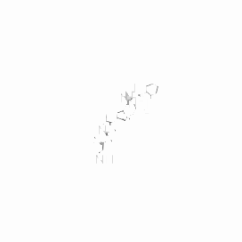 CN/C(=C\C=N)Nc1ncc(C)c(-c2cc3n(c2)C[C@H](CF)n2c-3nnc2C(F)(F)c2c(F)cccc2F)n1